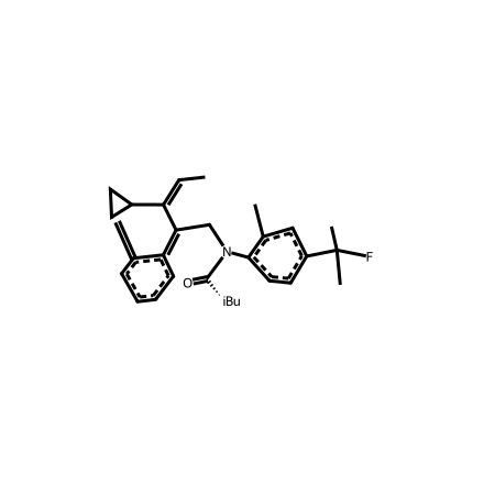 C=c1cccc/c1=C(CN(C(=O)[C@@H](C)CC)c1ccc(C(C)(C)F)cc1C)/C(=C\C)C1CC1